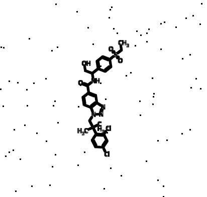 CCS(=O)(=O)c1ccc(C(CO)NC(=O)c2ccc3c(c2)nnn3CC(C)(C)c2ccc(Cl)cc2Cl)cc1